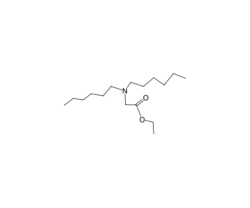 CCCCCCN(CCCCCC)CC(=O)OCC